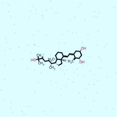 C=C1/C(=C\C=C2/CCC[C@]3(C)[C@@H]([C@H](C)CCC(F)C(C)(C)O)CC[C@@H]23)C[C@@H](O)C[C@@H]1O